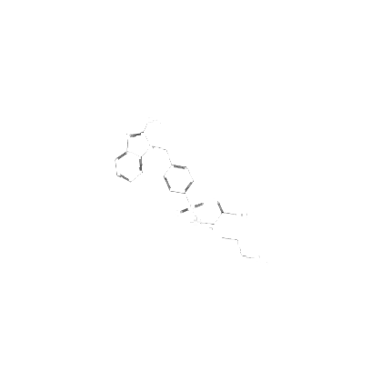 CCCC[C@H](NS(=O)(=O)c1ccc(Cn2c(C)nc3ccccc32)cc1)C(=O)O